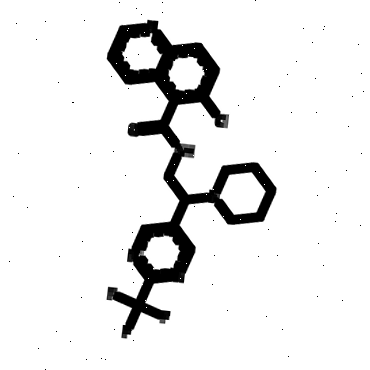 O=C(NCC(c1cnc(C(F)(F)F)nc1)N1CCCCC1)c1c(Cl)ccc2ncccc12